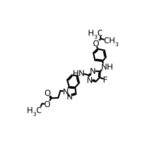 CCOC(=O)CCn1ncc2cc(Nc3ncc(F)c(Nc4ccc(OC(C)C)cc4)n3)ccc21